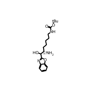 CC(C)(C)OC(=O)NCCCCC[C@H](N)C(O)c1nc2ccccc2o1